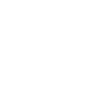 CC(C)c1ccnc2ccc(CNC(=O)c3cccc(Oc4ccnc5ccccc45)c3)cc12